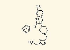 CCc1ccc(CN2CCC(N(Cc3ccc(C)cc3)C(N)=O)CC2)s1.c1cc2cc(c1)C2